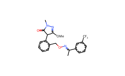 COC1=NN(C)C(=O)C1c1ccccc1CO/N=C(\C)c1cccc(C(F)(F)F)c1